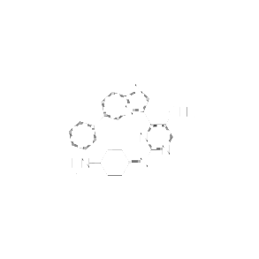 Cc1cnc(N=C2CCC(N)CC2)nc1-c1cnc2ccc(-c3ccccc3)cn12